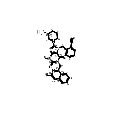 C#Cc1ccccc1Cn1c(N2CCC[C@@H](N)C2)nc2c1c(=O)n(Cc1nc(C)cc3ccccc13)c(=O)n2C